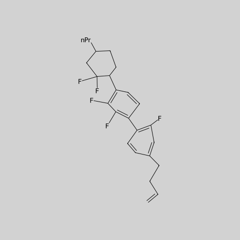 C=CCCc1ccc(-c2ccc(C3CCC(CCC)CC3(F)F)c(F)c2F)c(F)c1